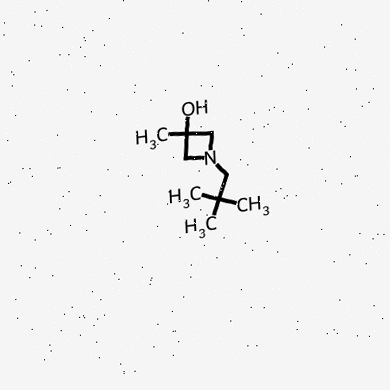 CC(C)(C)CN1CC(C)(O)C1